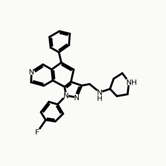 Fc1ccc(-n2nc(CNC3CCNCC3)c3cc(-c4ccccc4)c4cnccc4c32)cc1